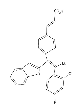 CCC(=C(c1ccc(C=CC(=O)O)cc1)c1cc2ccccc2o1)c1ccc(F)cc1Cl